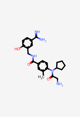 Cc1cc(C(=O)NCc2cc(C(=N)N)ccc2O)ccc1N(C(=O)CN)C1CCCC1